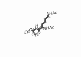 CCOC(NC(=O)C(CCCCNC(C)=O)NC(C)=O)OCC